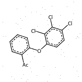 CC(=O)c1ccccc1Oc1ccc(Cl)c(Cl)c1Cl